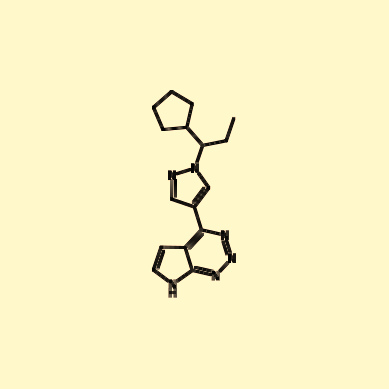 CCC(C1CCCC1)n1cc(-c2nnnc3[nH]ccc23)cn1